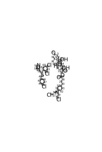 C[C@]12C=CC(=O)C=C1CC[C@@H]1[C@@H]2[C@@H](O)C[C@@]2(C)[C@H]1CC[C@]2(O)C(=O)COC(=O)CCCc1ccc(N(CCCl)CCCl)cc1.Clc1ccc(CSC(Cn2ccnc2)c2ccc(Cl)cc2Cl)cc1